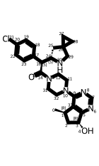 C[C@@H]1C[C@@H](O)c2ncnc(N3CCN(C(=O)[C@@H](c4ccc(Cl)cc4)[C@@H]4CC5(CC5)CN4)CC3)c21